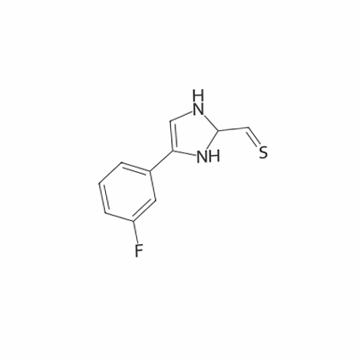 Fc1cccc(C2=CNC(C=S)N2)c1